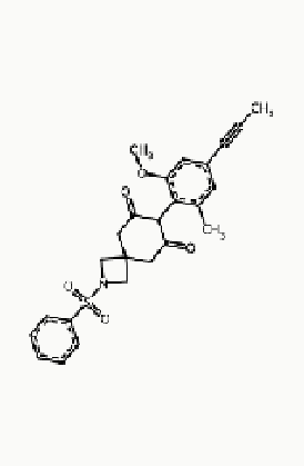 CC#Cc1cc(C)c(C2C(=O)CC3(CC2=O)CN(S(=O)(=O)c2ccccc2)C3)c(OC)c1